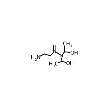 CC(O)N(NCCN)C(C)O